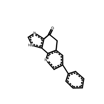 O=C1Cc2cc(-c3ccccc3)cnc2-c2[nH]cnc21